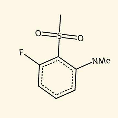 CNc1cccc(F)c1S(C)(=O)=O